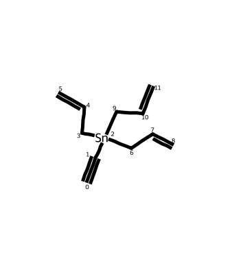 C#[C][Sn]([CH2]C=C)([CH2]C=C)[CH2]C=C